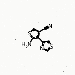 N#Cc1csc(N)c1-c1cscn1